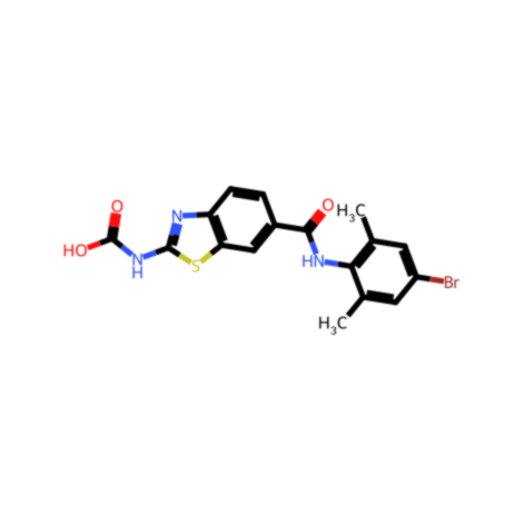 Cc1cc(Br)cc(C)c1NC(=O)c1ccc2nc(NC(=O)O)sc2c1